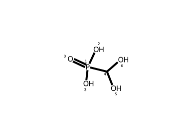 O=P(O)(O)[C](O)O